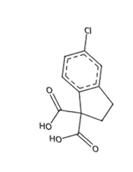 O=C(O)C1(C(=O)O)CCc2cc(Cl)ccc21